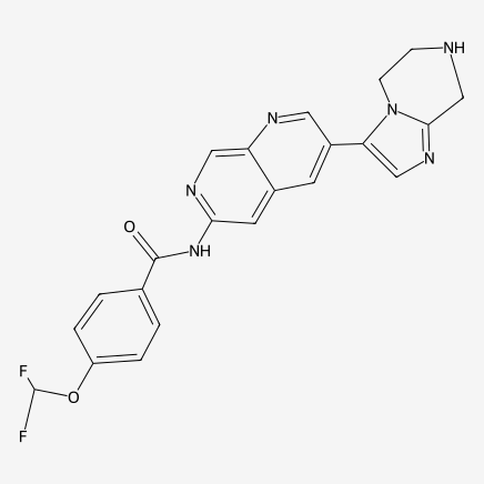 O=C(Nc1cc2cc(-c3cnc4n3CCNC4)cnc2cn1)c1ccc(OC(F)F)cc1